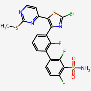 CSc1nccc(-c2sc(Br)nc2-c2cccc(-c3ccc(F)c(S(N)(=O)=O)c3F)c2F)n1